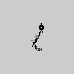 Cc1ccc(OCCNC/C=C/C(=O)N(C)CCO)cc1